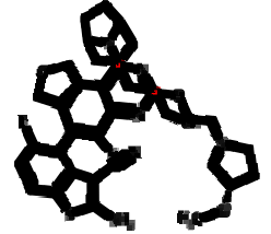 CO[C@H]1CCN(CCOc2nc(N3C4CCC3CN(CCCO)C4)c3c4c(c(-c5c(F)ccc6sc(N)c(C#N)c56)c(F)c3n2)COC4)C1